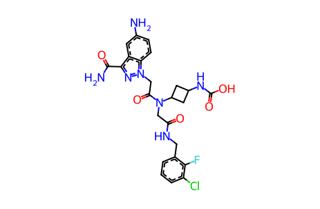 NC(=O)c1nn(CC(=O)N(CC(=O)NCc2cccc(Cl)c2F)C2CC(NC(=O)O)C2)c2ccc(N)cc12